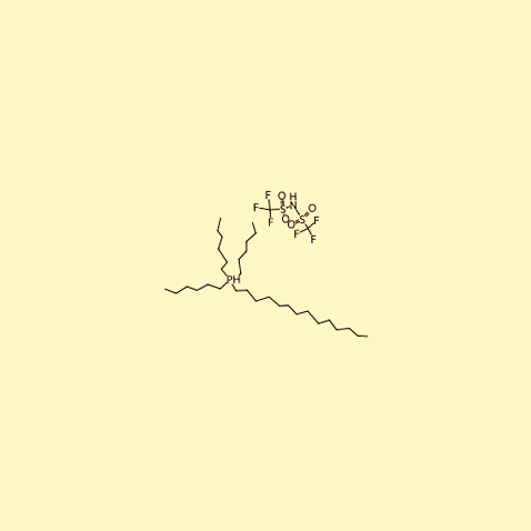 CCCCCCCCCCCCCC[PH](CCCCCC)(CCCCCC)CCCCCC.O=S(=O)(NS(=O)(=O)C(F)(F)F)C(F)(F)F